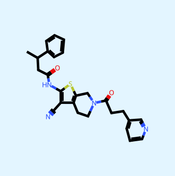 CC(CC(=O)Nc1sc2c(c1C#N)CCN(C(=O)CCc1cccnc1)C2)c1ccccc1